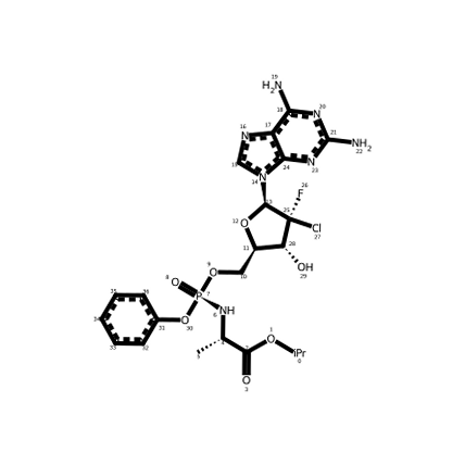 CC(C)OC(=O)[C@H](C)N[P@@](=O)(OC[C@H]1O[C@@H](n2cnc3c(N)nc(N)nc32)[C@@](F)(Cl)[C@@H]1O)Oc1ccccc1